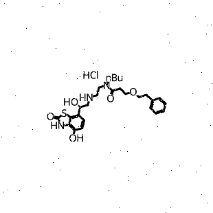 CCCCN(CCNC[C@H](O)c1ccc(O)c2[nH]c(=O)sc12)C(=O)CCOCCc1ccccc1.Cl